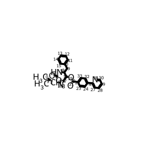 CC(C)(C)OC(=O)NC(Cc1ccccc1)C(C#N)OC(=O)c1ccc(-c2ccccn2)cc1